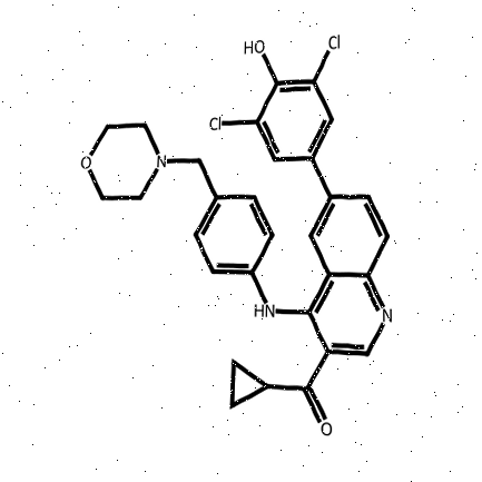 O=C(c1cnc2ccc(-c3cc(Cl)c(O)c(Cl)c3)cc2c1Nc1ccc(CN2CCOCC2)cc1)C1CC1